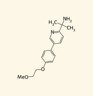 COCCOc1ccc(-c2ccc(C(C)(C)N)nc2)cc1